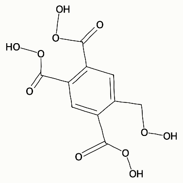 O=C(OO)c1cc(C(=O)OO)c(C(=O)OO)cc1COO